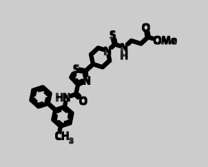 COC(=O)CCNC(=S)N1CCC(c2nc(C(=O)Nc3ccc(C)cc3-c3ccccc3)cs2)CC1